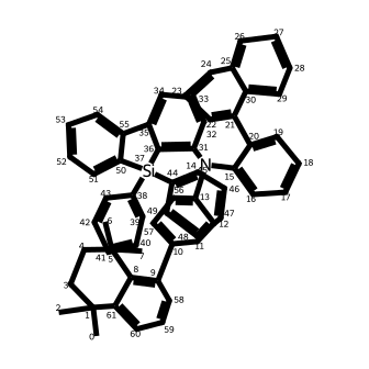 CC1(C)CCC(C)(C)c2c(-c3ccc(N(c4ccccc4-c4cccc5ccccc45)c4cccc5c4[Si](c4ccccc4)(c4ccccc4)c4ccccc4-5)cc3)cccc21